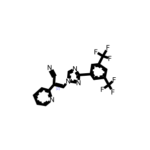 N#C/C(=C\n1cnc(-c2cc(C(F)(F)F)cc(C(F)(F)F)c2)n1)c1ccccn1